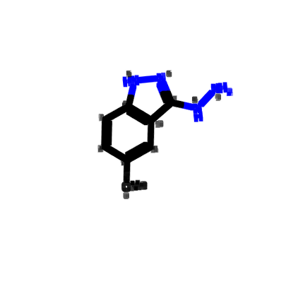 COc1ccc2[nH]nc(NN)c2c1